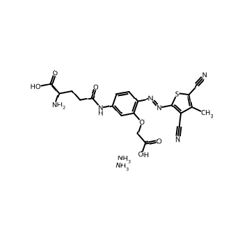 Cc1c(C#N)sc(N=Nc2ccc(NC(=O)CCC(N)C(=O)O)cc2OCC(=O)O)c1C#N.N.N